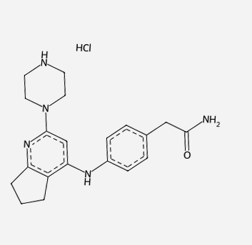 Cl.NC(=O)Cc1ccc(Nc2cc(N3CCNCC3)nc3c2CCC3)cc1